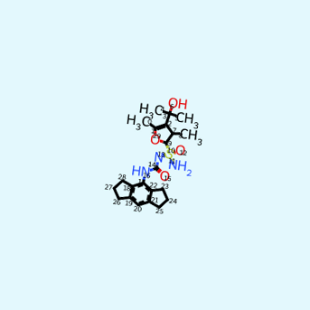 CC1=C(C(C)(C)O)C(C)C(S(N)(=O)=NC(=O)Nc2c3c(cc4c2CCC4)CCC3)O1